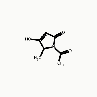 CC(=O)N1C(=O)C=C(O)C1C